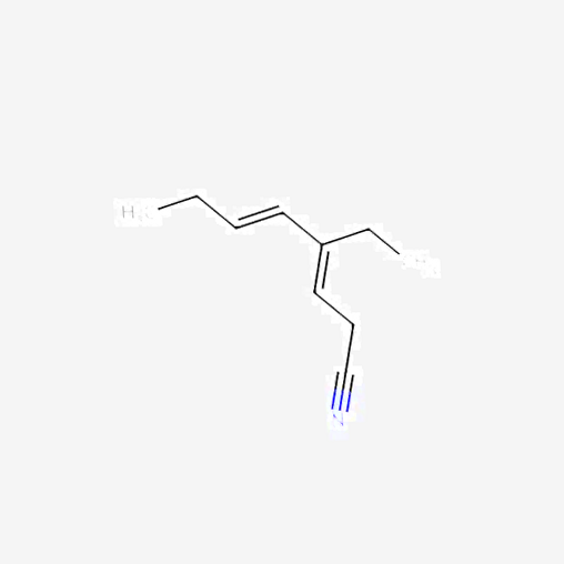 CCC=CC(=CCC#N)CC